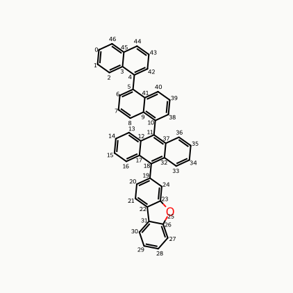 c1ccc2c(-c3cccc4c(-c5c6ccccc6c(-c6ccc7c(c6)oc6ccccc67)c6ccccc56)cccc34)cccc2c1